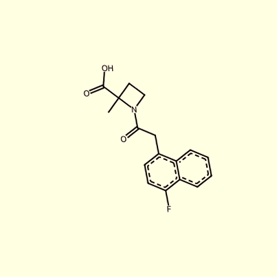 CC1(C(=O)O)CCN1C(=O)Cc1ccc(F)c2ccccc12